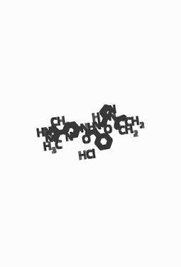 C=CC(C=C)n1nccc1C(=O)N[C@H](C(=O)Nc1ccc(-c2c(C)n[nH]c2C)nc1)C1CCCCC1.Cl